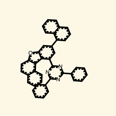 c1ccc(-c2nc(-c3ccccc3)nc(-c3cc(-c4cccc5ccccc45)cc4oc5ccc6ccccc6c5c34)n2)cc1